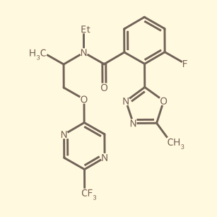 CCN(C(=O)c1cccc(F)c1-c1nnc(C)o1)C(C)COc1cnc(C(F)(F)F)cn1